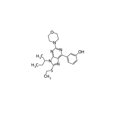 CCSc1nc2c(-c3cccc(O)c3)nc(N3CCOCC3)nc2n1C(C)CC